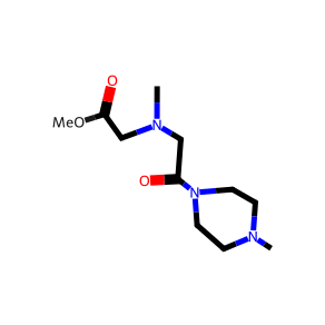 COC(=O)CN(C)CC(=O)N1CCN(C)CC1